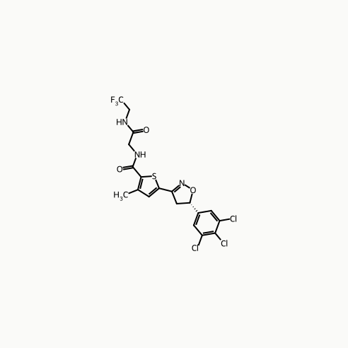 Cc1cc(C2=NO[C@H](c3cc(Cl)c(Cl)c(Cl)c3)C2)sc1C(=O)NCC(=O)NCC(F)(F)F